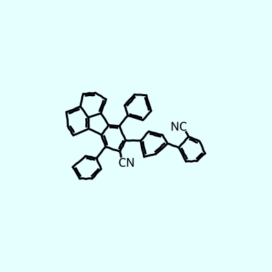 N#Cc1ccccc1-c1ccc(-c2c(C#N)c(-c3ccccc3)c3c(c2-c2ccccc2)-c2cccc4cccc-3c24)cc1